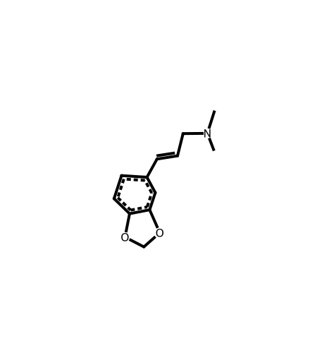 CN(C)CC=Cc1ccc2c(c1)OCO2